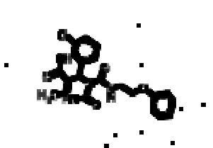 CC1=C(C(=O)O)C(c2cccc(Cl)c2)N(C(=O)NCCOc2ccccc2)C(=O)N1